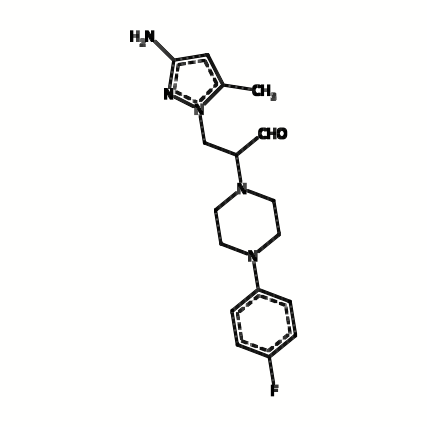 Cc1cc(N)nn1CC(C=O)N1CCN(c2ccc(F)cc2)CC1